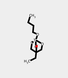 CCCC[O][Ti]12[O]CC(CC)(C[O]1)C[O]2